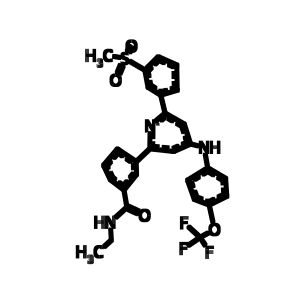 CCNC(=O)c1cccc(-c2cc(Nc3ccc(OC(F)(F)F)cc3)cc(-c3cccc(S(C)(=O)=O)c3)n2)c1